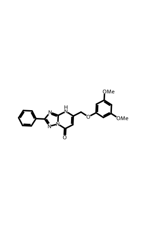 COc1cc(OC)cc(OCc2cc(=O)n3nc(-c4ccccc4)nc3[nH]2)c1